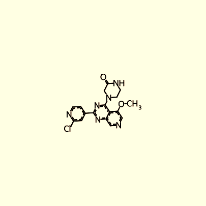 COc1cncc2nc(-c3ccnc(Cl)c3)nc(N3CCNC(=O)C3)c12